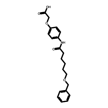 O=C(O)COc1ccc(NC(=O)CCCCCOCc2ccccc2)cc1